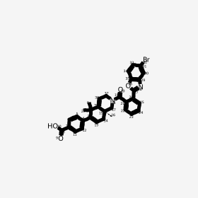 CC1(C)C(c2ccc(C(=O)O)cc2)=CC[C@]2(C)CN(C(=O)c3ccccc3-c3nc4cc(Br)ccc4o3)CC=C12